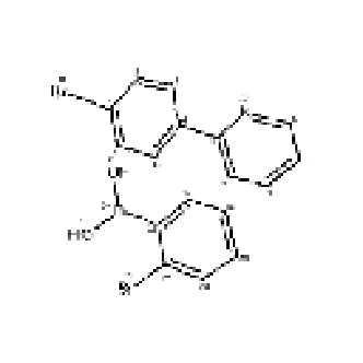 Brc1ccc(-c2ccccn2)cc1.OB(O)c1ccccc1Br